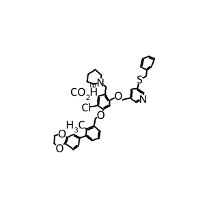 Cc1c(COc2cc(OCc3cncc(SCc4ccccc4)c3)c(CN3CCCC[C@H]3C(=O)O)cc2Cl)cccc1-c1ccc2c(c1)OCCO2